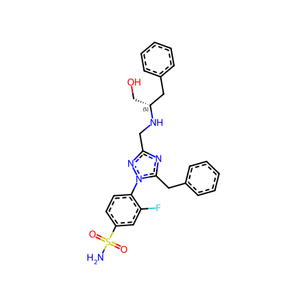 NS(=O)(=O)c1ccc(-n2nc(CN[C@H](CO)Cc3ccccc3)nc2Cc2ccccc2)c(F)c1